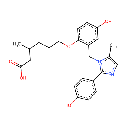 Cc1cnc(-c2ccc(O)cc2)n1Cc1cc(O)ccc1OCCCC(C)CC(=O)O